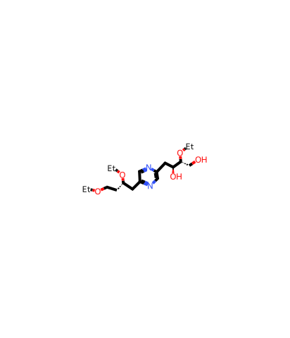 CCOCC[C@@H](Cc1cnc(C[C@H](O)[C@@H](CO)OCC)cn1)OCC